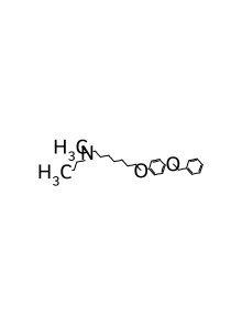 CCCCN(C)CCCCCCCOc1ccc(OCc2ccccc2)cc1